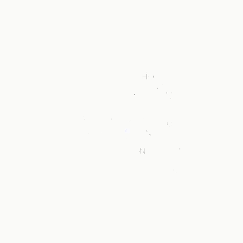 C#Cc1ccc(/C=C/c2nc3ccccc3c(=O)n2-c2cccc(C(=O)O)c2)cc1